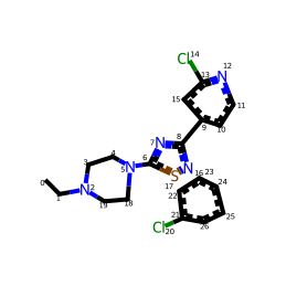 CCN1CCN(c2nc(-c3ccnc(Cl)c3)ns2)CC1.Clc1ccccc1